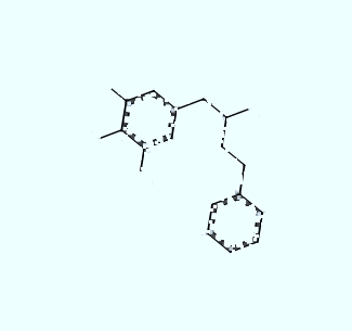 Oc1cc(CC(CCc2ccccc2)C(F)(F)F)cc(C(F)(F)F)c1O